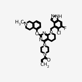 C=CC(=O)N1CCN(c2nc(Oc3cccc4c3CCN(C)C4)nc3c2CCCN3Cc2c(Cl)c(F)cc3[nH]ncc23)CC1